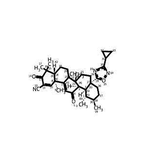 C[C@@H]1[C@H]2[C@H]3C(=O)C=C4[C@@]5(C)C=C(C#N)C(=O)C(C)(C)[C@@H]5CC[C@@]4(C)[C@]3(C)CC[C@@]2(c2nc(C3CC3)no2)CC[C@H]1C